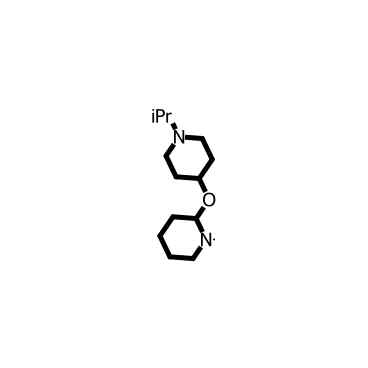 CC(C)N1CCC(OC2CCCC[N]2)CC1